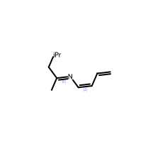 C=C/C=C\N=C(/C)CC(C)C